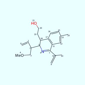 C=CC(COC)C1N=C(C(=C)C)c2cc(C)ccc2C1CCO